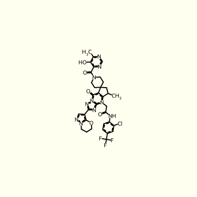 Cc1ncnc(C(=O)N2CCC3(CC2)CC(C)c2c3c(=O)n3nc(-c4cnn5c4OCCC5)nc3n2CC(=O)Nc2ccc(C(F)(F)F)cc2Cl)c1O